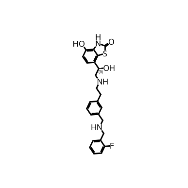 O=c1[nH]c2c(O)ccc([C@@H](O)CNCCc3cccc(CNCc4ccccc4F)c3)c2s1